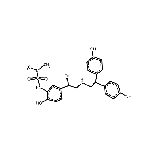 CN(C)S(=O)(=O)Nc1cc([C@@H](O)CNCC(c2ccc(O)cc2)c2ccc(O)cc2)ccc1O